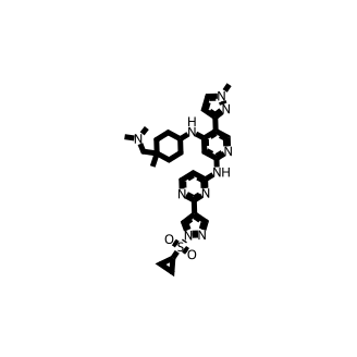 CN(C)CC1(C)CCC(Nc2cc(Nc3ccnc(-c4cnn(S(=O)(=O)C5CC5)c4)n3)ncc2-c2ccn(C)n2)CC1